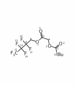 CC(C)(C)C(=O)OCC(=O)OCC(F)(F)C(F)(F)C(F)(F)F